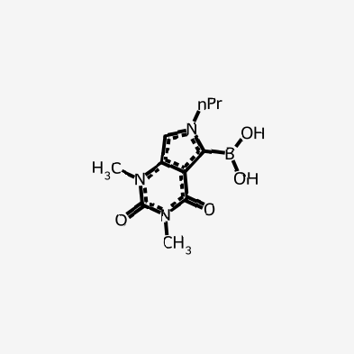 CCCn1cc2c(c1B(O)O)c(=O)n(C)c(=O)n2C